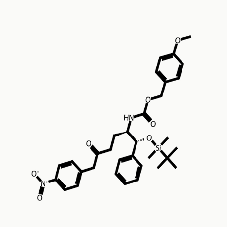 COc1ccc(COC(=O)N[C@H](CCC(=O)Cc2ccc([N+](=O)[O-])cc2)[C@H](O[Si](C)(C)C(C)(C)C)c2ccccc2)cc1